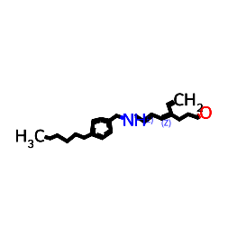 C=C/C(=C\C=C\CNCc1ccc(CCCCCC)cc1)CCC=O